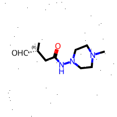 C[C@@H](C=O)CC(=O)NN1CCN(C)CC1